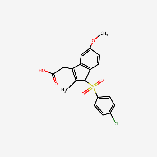 COc1ccc2c(c1)C(CC(=O)O)=C(C)C2S(=O)(=O)c1ccc(Cl)cc1